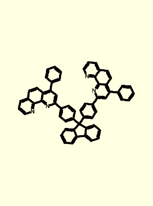 c1ccc(-c2cc(-c3ccc(C4(c5ccc(-c6cc(-c7ccccc7)c7ccc8cccnc8c7n6)cc5)c5ccccc5-c5ccccc54)cc3)nc3c2ccc2cccnc23)cc1